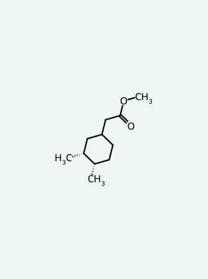 COC(=O)CC1CC[C@H](C)[C@H](C)C1